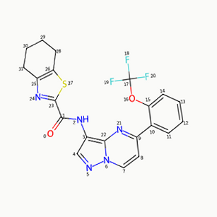 O=C(Nc1cnn2ccc(-c3ccccc3OC(F)(F)F)nc12)c1nc2c(s1)CCCC2